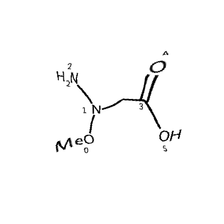 CON(N)C(=O)O